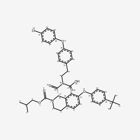 CC(C)COC(=O)N1CCc2ccc(Oc3ccc(C(C)(C)C)cc3)cc2[C@H]1C(=O)N(CCc1ccc(Oc2ccc(Cl)cc2)cc1)C(=O)O